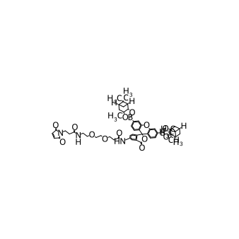 CC1(C)[C@@H]2C[C@H]1C1OB(c3ccc4c(c3)Oc3cc(B5OC6C[C@@H]7C[C@@H](C7(C)C)[C@]6(C)O5)ccc3C43OC(=O)c4cc(NC(=O)CCOCCOCCNC(=O)CCN5C(=O)C=CC5=O)ccc43)O[C@@]1(C)C2